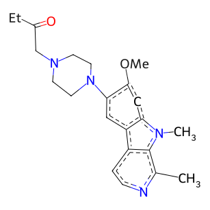 CCC(=O)CN1CCN(c2cc3c4ccnc(C)c4n(C)c3cc2OC)CC1